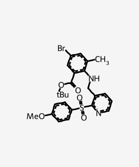 COc1ccc(S(=O)(=O)c2ncccc2CNc2c(C)cc(Br)cc2C(=O)OC(C)(C)C)cc1